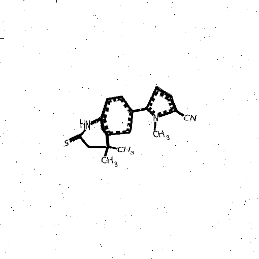 Cn1c(C#N)ccc1-c1ccc2c(c1)C(C)(C)CC(=S)N2